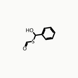 O=CSC(O)c1ccccc1